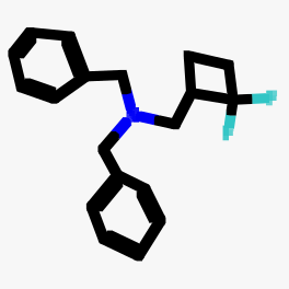 FC1(F)CCC1CN(Cc1ccccc1)Cc1ccccc1